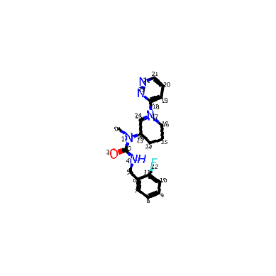 CN(C(=O)NCc1ccccc1F)[C@@H]1CCCN(c2cccnn2)C1